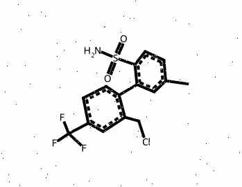 Cc1ccc(S(N)(=O)=O)c(-c2ccc(C(F)(F)F)cc2CCl)c1